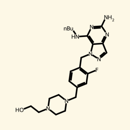 CCCCNc1nc(N)nc2cnn(Cc3ccc(CN4CCN(CCO)CC4)cc3F)c12